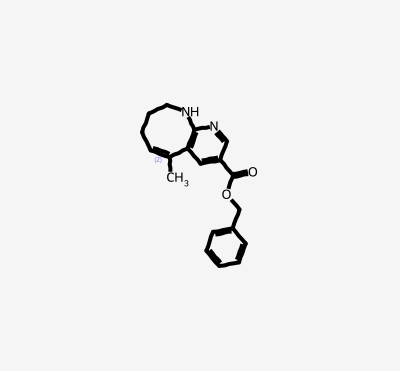 C/C1=C/CCCNc2ncc(C(=O)OCc3ccccc3)cc21